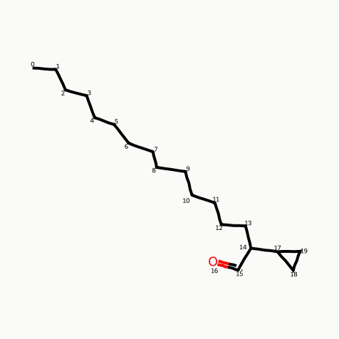 CCCCCCCCCCCCCCC([C]=O)C1CC1